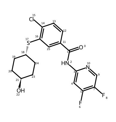 O=C(Nc1cc(F)c(F)cn1)c1ccc(Cl)c(S[C@H]2CC[C@H](O)CC2)c1